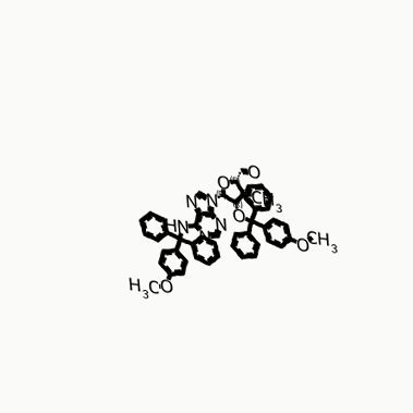 COc1ccc(C(Nc2ncnc3c2ncn3[C@@H]2O[C@H](C=O)[C@@H](C)[C@H]2OC(c2ccccc2)(c2ccccc2)c2ccc(OC)cc2)(c2ccccc2)c2ccccc2)cc1